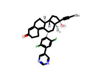 CC(C)(C)C#C[C@]1(O)CC[C@H]2[C@@H]3CCC4=CC(=O)CCC4=C3[C@@H](c3cc(F)c(-c4cncnc4)cc3F)C[C@@]21C